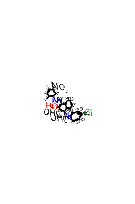 Cc1ccc([N+](=O)[O-])cc1N=Nc1c(O)c(C=O)c(N(C=O)c2ccc(Cl)cc2)c2ccccc12